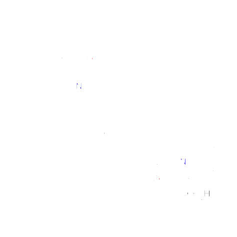 Cc1oc(-c2ccccc2)nc1CCc1cccc(CC(=O)N2CCC[C@@H]2C(=O)O)c1